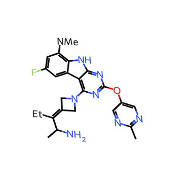 CCC(=C1CN(c2nc(Oc3cnc(C)nc3)nc3[nH]c4c(NC)cc(F)cc4c23)C1)C(C)N